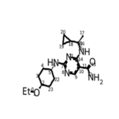 CCO[C@H]1CC[C@H](Nc2ncc(C(N)=O)c(N[C@H](C)C3CC3)n2)CC1